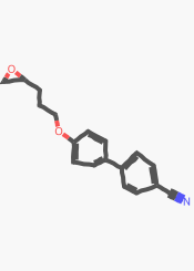 N#Cc1ccc(-c2ccc(OCCCC3CO3)cc2)cc1